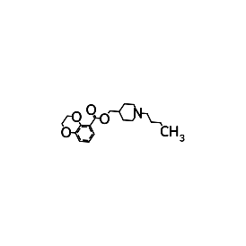 CCCCN1CCC(COC(=O)c2cccc3c2OCCO3)CC1